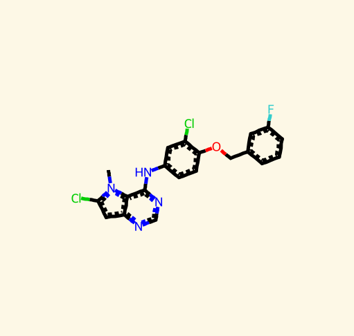 Cn1c(Cl)cc2ncnc(Nc3ccc(OCc4cccc(F)c4)c(Cl)c3)c21